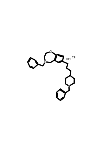 Cl.Cl.c1ccc(CN2CCC(CCCc3ccc4c(c3)CN(Cc3ccccc3)CCO4)CC2)cc1